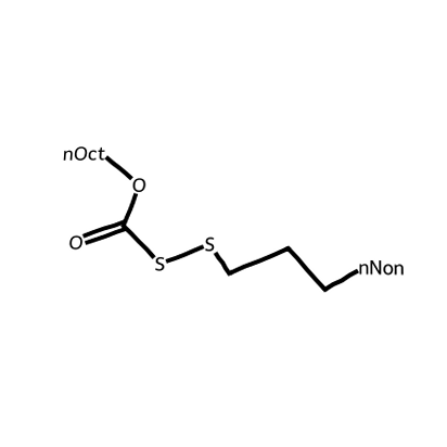 CCCCCCCCCCCCSSC(=O)OCCCCCCCC